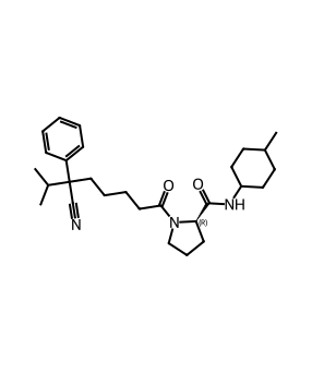 CC1CCC(NC(=O)[C@H]2CCCN2C(=O)CCCCC(C#N)(c2ccccc2)C(C)C)CC1